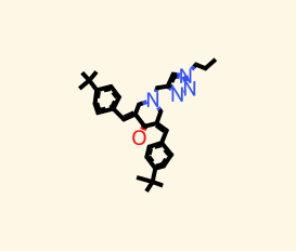 CCCn1cc(CN2CC(=Cc3ccc(C(C)(C)C)cc3)C(=O)C(=Cc3ccc(C(C)(C)C)cc3)C2)nn1